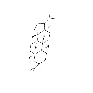 CC(C)[C@H]1CC[C@H]2[C@@H]3CC[C@@H]4C[C@](C)(O)CC[C@@H]4[C@H]3CC[C@]12C